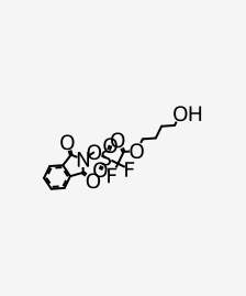 O=C1c2ccccc2C(=O)N1OS(=O)(=O)C(F)(F)C(=O)OCCCCO